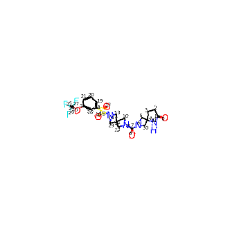 O=C1CCC2(CN(C(=O)N3CC4(C3)CN(S(=O)(=O)c3cccc(OC(F)(F)F)c3)C4)C2)N1